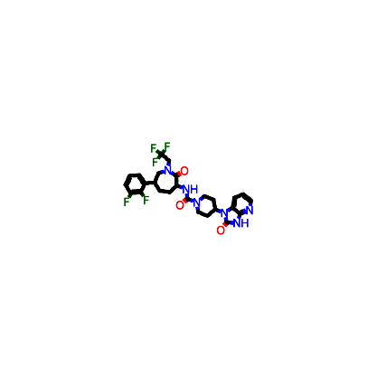 O=C(NC1CCC(c2cccc(F)c2F)CN(CC(F)(F)F)C1=O)N1CCC(n2c(=O)[nH]c3ncccc32)CC1